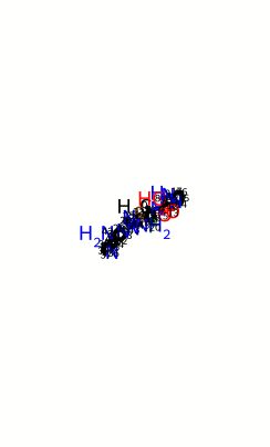 Cc1c(NC(=O)c2c(O)nc3n(c2=O)CCCC3)cc(F)cc1Sc1ncc(N2CCC3(CC2)Cc2ncccc2[C@H]3N)nc1N